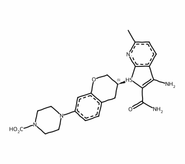 Cc1ccc2c(n1)[SH]([C@@H]1COc3cc(N4CCN(C(=O)O)CC4)ccc3C1)C(C(N)=O)=C2N